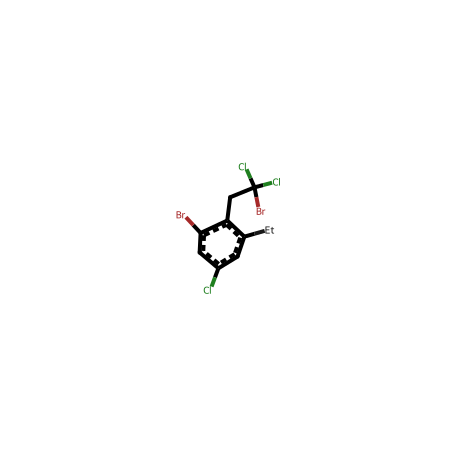 CCc1cc(Cl)cc(Br)c1CC(Cl)(Cl)Br